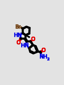 C[C@]12CCCC(Br)C1NC(=O)/C2=C1\NC2C=CC(C(N)=O)=CC2C1=O